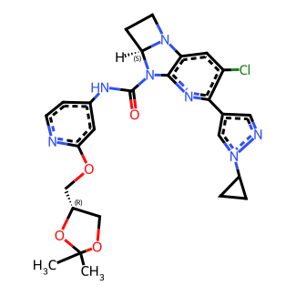 CC1(C)OC[C@@H](COc2cc(NC(=O)N3c4nc(-c5cnn(C6CC6)c5)c(Cl)cc4N4CC[C@@H]43)ccn2)O1